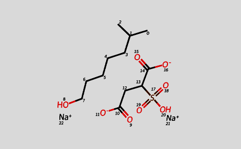 CC(C)CCCCCO.O=C([O-])CC(C(=O)[O-])S(=O)(=O)O.[Na+].[Na+]